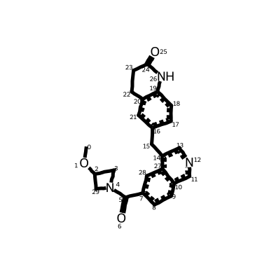 COC1CN(C(=O)c2ccc3cncc(Cc4ccc5c(c4)CCC(=O)N5)c3c2)C1